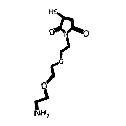 NCCOCCOCCN1C(=O)CC(S)C1=O